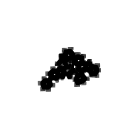 C/C=C(/NC(c1ccc2cc(-c3ccccc3)ccc2c1)c1c(C)sc2ccccc12)n1c2ccccc2c2c3c4ccccc4sc3c3ccccc3c21